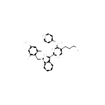 C[S+]([O-])CCCc1cnc(-c2nn(Cc3c(F)cc(O)cc3F)c3ccccc23)nc1Nc1ccncc1